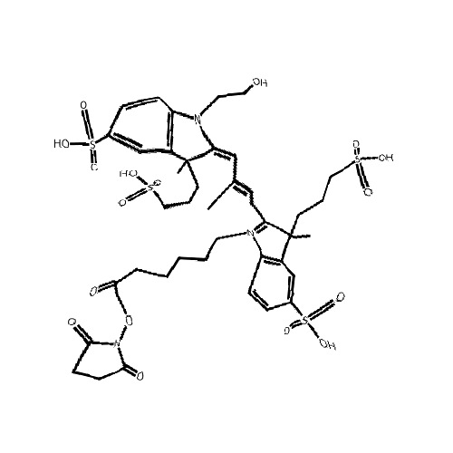 CC(=C\C1=[N+](CCCCCC(=O)ON2C(=O)CCC2=O)c2ccc(S(=O)(=O)O)cc2C1(C)CCCS(=O)(=O)O)/C=C1/N(CCO)c2ccc(S(=O)(=O)O)cc2C1(C)CCCS(=O)(=O)O